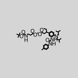 CCC(CC(=O)OCOC(=O)CCNC(=O)OC(C)(C)C)c1ccc(N(CC(C)C)CC(C)C)c(NC(=O)Nc2ccc(C)cc2)c1